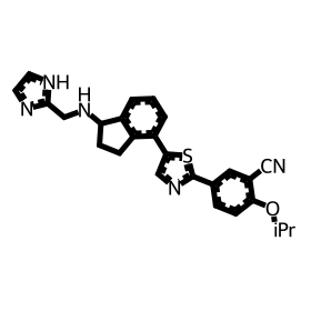 CC(C)Oc1ccc(-c2ncc(-c3cccc4c3CCC4NCc3ncc[nH]3)s2)cc1C#N